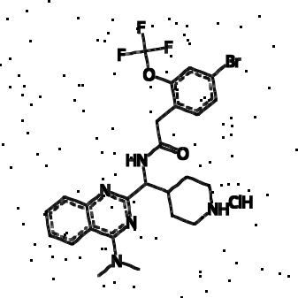 CN(C)c1nc(C(NC(=O)Cc2ccc(Br)cc2OC(F)(F)F)C2CCNCC2)nc2ccccc12.Cl